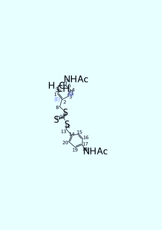 C/C=C(\C=C/C(C)NC(C)=O)CSC(=S)SCc1ccc(NC(C)=O)cc1